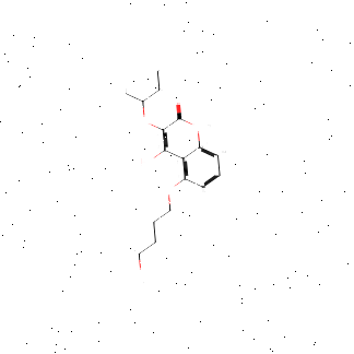 CCC(C)Oc1c(O)c2c(OCCCCO)cccc2oc1=O